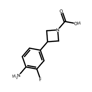 Nc1ccc(C2CN(C(=O)O)C2)cc1F